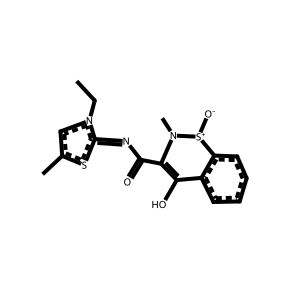 CCn1cc(C)sc1=NC(=O)C1=C(O)c2ccccc2[S+]([O-])N1C